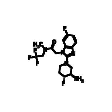 CN(CC(F)(F)F)C(=O)Cn1c(N2CC[C@@H](F)[C@H](N)C2)nc2ccc(F)cc21